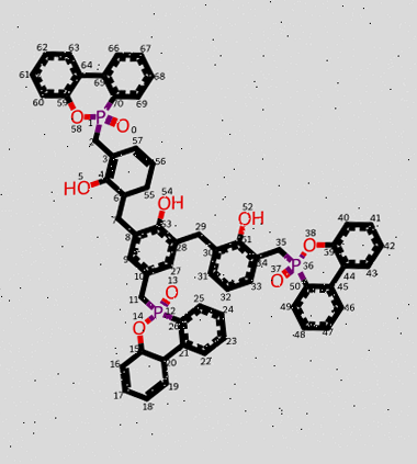 O=P1(CC2=C(O)C(Cc3cc(CP4(=O)OC5C=CC=CC5c5ccccc54)cc(Cc4cccc(CP5(=O)Oc6ccccc6-c6ccccc65)c4O)c3O)CC=C2)Oc2ccccc2-c2ccccc21